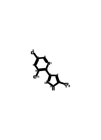 FC(F)(F)c1cc(-c2ncc(Cl)cc2Cl)n[nH]1